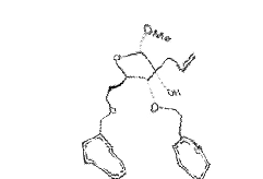 C=CC[C@]1(O)[C@@H](OC)O[C@H](COCc2ccccc2)[C@H]1OCc1ccccc1